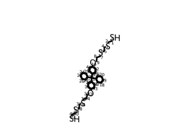 SCCSCCSCCCOc1ccc(C(c2ccccc2)(c2ccccc2)c2ccc(OCCCSCCSCCS)cc2)cc1